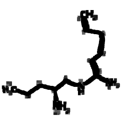 C=C/C=C\C=C(/N)NC[C@@H](N)CCC